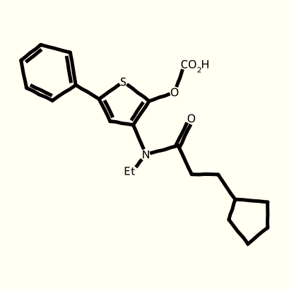 CCN(C(=O)CCC1CCCC1)c1cc(-c2ccccc2)sc1OC(=O)O